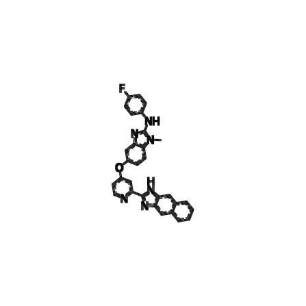 Cn1c(Nc2ccc(F)cc2)nc2cc(Oc3ccnc(-c4nc5cc6ccccc6cc5[nH]4)c3)ccc21